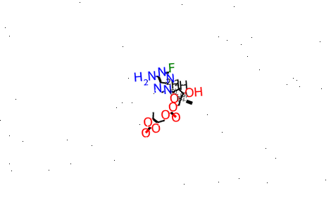 [2H]C1([2H])[C@H](n2cnc3c(N)nc(F)nc32)O[C@](C#C)(COC(=O)OCc2oc(=O)oc2C)[C@H]1O